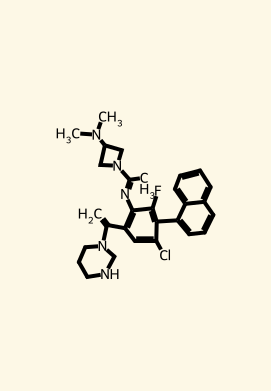 C=C(c1cc(Cl)c(-c2cccc3ccccc23)c(F)c1/N=C(\C)N1CC(N(C)C)C1)N1CCCNC1